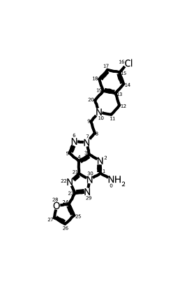 Nc1nc2c(cnn2CCN2CCc3cc(Cl)ccc3C2)c2nc(-c3ccco3)nn12